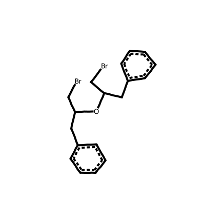 BrCC(Cc1ccccc1)OC(CBr)Cc1ccccc1